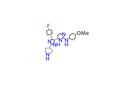 COc1ccc(Nc2nccc(-c3[nH]c(C4CCNCC4)nc3-c3ccc(F)cc3)n2)cc1